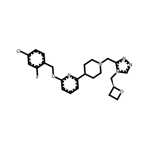 Fc1cc(Cl)ccc1COc1cccc(C2CCN(Cc3nn[c]n3C[C@@H]3CCO3)CC2)n1